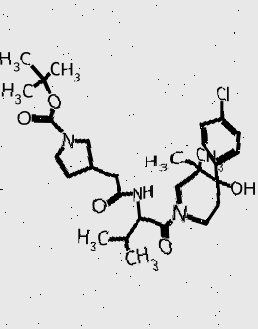 CC(C)C(NC(=O)CC1CCN(C(=O)OC(C)(C)C)C1)C(=O)N1CCC(O)(c2ccc(Cl)cc2)C(C)(C)C1